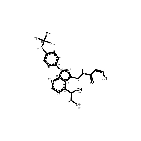 O=C(/C=C\Cl)NCc1nn(-c2ccc(OC(F)(F)F)cc2)c2nccc(C(O)CO)c12